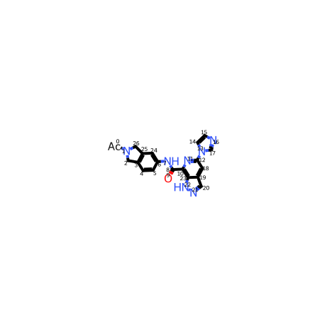 CC(=O)N1Cc2ccc(NC(=O)c3nc(-n4ccnc4)cc4cn[nH]c34)cc2C1